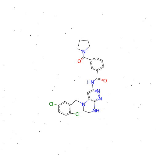 O=C(Nc1cc2c(nn1)NCCN2Cc1cc(Cl)ccc1Cl)c1cccc(C(=O)N2CCCC2)c1